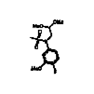 COc1cc(N(CC(OC)OC)S(C)(=O)=O)ccc1F